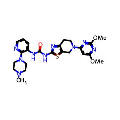 COc1cc(N2CCc3nc(NC(=O)Nc4cccnc4N4CCN(C)CC4)sc3C2)nc(OC)n1